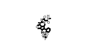 CCc1nc(Cl)c(C(=O)NC)n1Cc1c2ccocc-2c(Br)c1-c1ccccc1NS(=O)(=O)C(F)(F)F